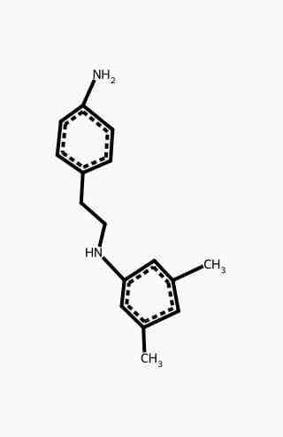 Cc1cc(C)cc(NCCc2ccc(N)cc2)c1